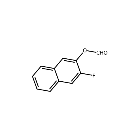 O=COc1cc2ccccc2cc1F